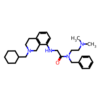 CN(C)CCN(Cc1ccccc1)C(=O)CNc1cccc2c1CN(CC1CCCCC1)CC2